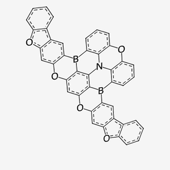 c1cc2c3c(c1)B1c4cc5c(cc4Oc4cc6c7c(c41)N3c1c(cccc1B7c1cc3c(cc1O6)oc1ccccc13)O2)oc1ccccc15